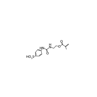 C=C(C)C(=O)OCCNC(=O)Nc1ccc(S(=O)(=O)O)cc1